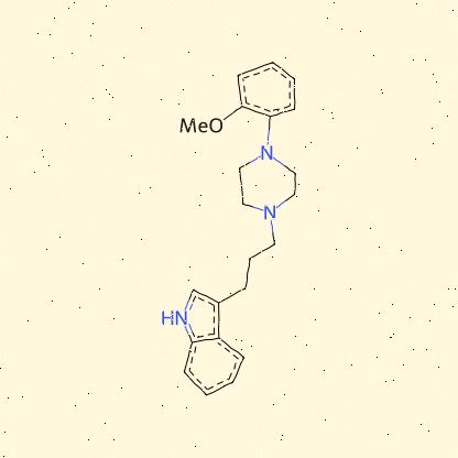 COc1ccccc1N1CCN(CCCc2c[nH]c3ccccc23)CC1